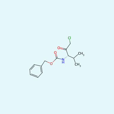 CC(C)[C@H](NC(=O)OCc1ccccc1)C(=O)CCl